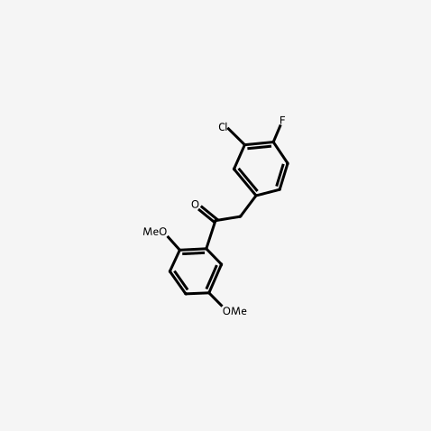 COc1ccc(OC)c(C(=O)Cc2ccc(F)c(Cl)c2)c1